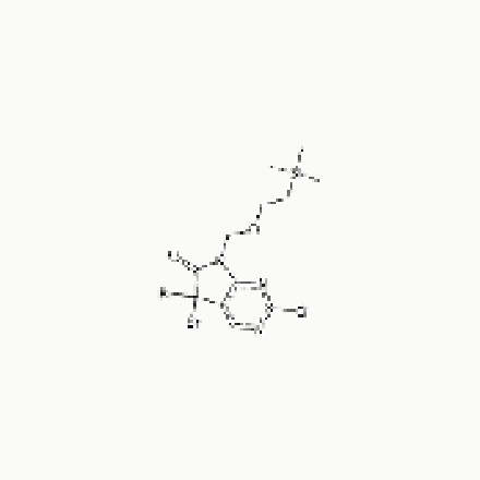 C[Si](C)(C)CCOCN1C(=O)C(Br)(Br)c2cnc(Cl)nc21